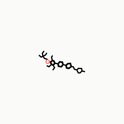 CCc1cc(-c2ccc(-c3ccc(CCC4CCC(C)CC4)cc3)cc2)c(CC)c(CC)c1OCCC(CC)(CC)CC